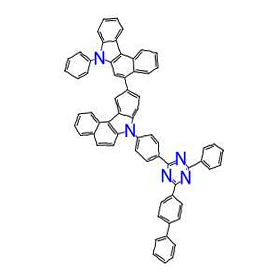 c1ccc(-c2ccc(-c3nc(-c4ccccc4)nc(-c4ccc(-n5c6ccc(-c7cc8c(c9ccccc79)c7ccccc7n8-c7ccccc7)cc6c6c7ccccc7ccc65)cc4)n3)cc2)cc1